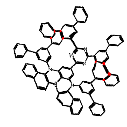 c1ccc(-c2cc(-c3ccccc3)cc(-c3nc(-c4cc(-c5ccccc5)cc(-c5ccccc5)c4)nc(-c4cc5c6c(c4)N(c4cc(-c7ccccc7)cc(-c7ccccc7)c4)c4c(ccc7ccccc47)B6c4ccc6ccccc6c4N5c4cc(-c5ccccc5)cc(-c5ccccc5)c4)n3)c2)cc1